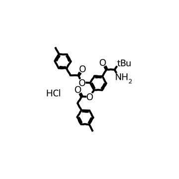 Cc1ccc(CC(=O)Oc2ccc(C(=O)C(N)C(C)(C)C)cc2OC(=O)Cc2ccc(C)cc2)cc1.Cl